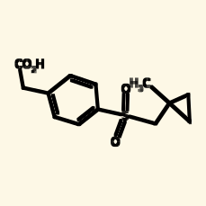 CC1(CS(=O)(=O)c2ccc(CC(=O)O)cc2)CC1